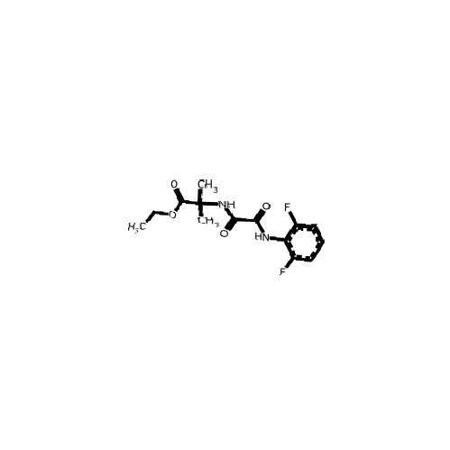 CCOC(=O)C(C)(C)NC(=O)C(=O)Nc1c(F)cccc1F